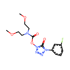 COCCN(CCOC)C(=O)On1nnn(-c2cccc(F)c2)c1=O